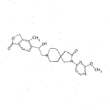 COc1nccc(N2CC3(CCN(CC(O)c4ccc5c(c4C)COC5=O)CC3)CC2=O)n1